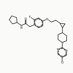 O=C(Cc1ccc(OCCC2CC2C2CCN(c3ncc(Cl)cn3)CC2)cc1F)NC1CCCC1